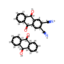 N#Cc1cc2c(cc1C#N)C(=O)c1ccccc1C2=O.O=C1c2ccccc2C(=O)c2ccccc21